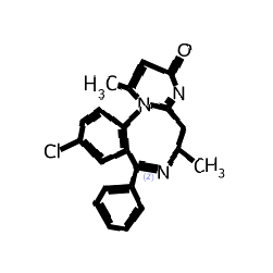 Cc1cc(=O)nc2n1-c1ccc(Cl)cc1/C(c1ccccc1)=N\C(C)C2